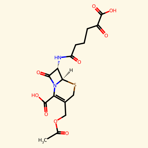 CC(=O)OCC1=C(C(=O)O)N2C(=O)[C@H](NC(=O)CCCC(=O)C(=O)O)[C@H]2SC1